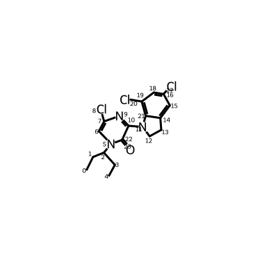 CCC(CC)n1cc(Cl)nc(N2CCc3cc(Cl)cc(Cl)c32)c1=O